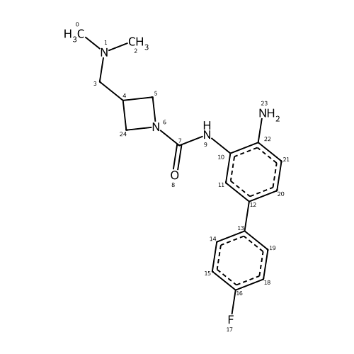 CN(C)CC1CN(C(=O)Nc2cc(-c3ccc(F)cc3)ccc2N)C1